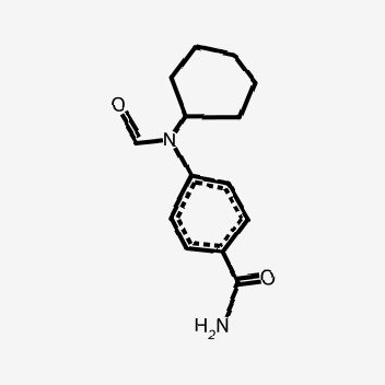 NC(=O)c1ccc(N(C=O)C2CCCCC2)cc1